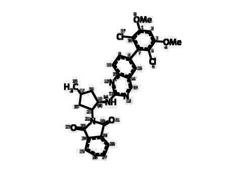 COc1cc(OC)c(Cl)c(-c2ccc3nc(N[C@@H]4CC(C)CC4N4C(=O)c5ccccc5C4=O)ncc3c2)c1Cl